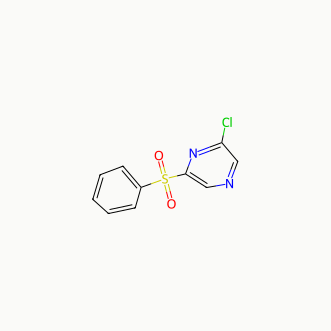 O=S(=O)(c1ccccc1)c1cncc(Cl)n1